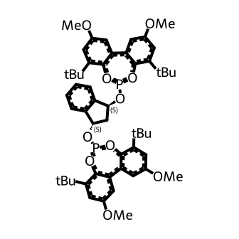 COc1cc(C(C)(C)C)c2op(O[C@H]3C[C@H](Op4oc5c(C(C)(C)C)cc(OC)cc5c5cc(OC)cc(C(C)(C)C)c5o4)c4ccccc43)oc3c(C(C)(C)C)cc(OC)cc3c2c1